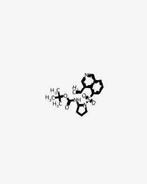 C=Cc1cncc2cccc(S(=O)(=O)N3CCCC3NC(=O)OC(C)(C)C)c12